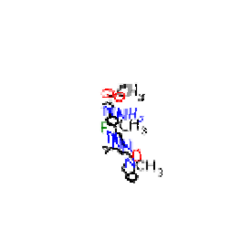 COC(=O)[C@H]1CCN(c2cc(F)c(-c3cc4nc(C(=O)N5CCc6ccccc6[C@H]5C)cc(C5CC5)n4n3)c(C)c2N)C1